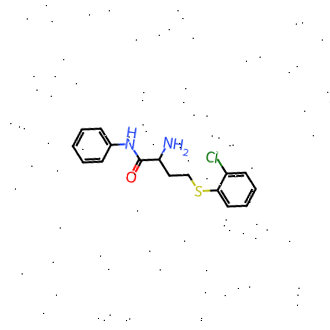 NC(CCSc1ccccc1Cl)C(=O)Nc1ccccc1